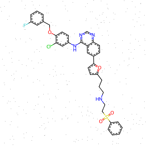 O=S(=O)(CCNCCCc1ccc(-c2ccc3ncnc(Nc4ccc(OCc5cccc(F)c5)c(Cl)c4)c3c2)o1)c1ccccc1